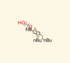 CCCCC(CCCC)Cc1cc2sc(BOC(C)(C)C(C)(C)O)cc2s1